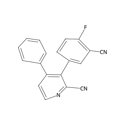 N#Cc1cc(-c2c(-c3ccccc3)ccnc2C#N)ccc1F